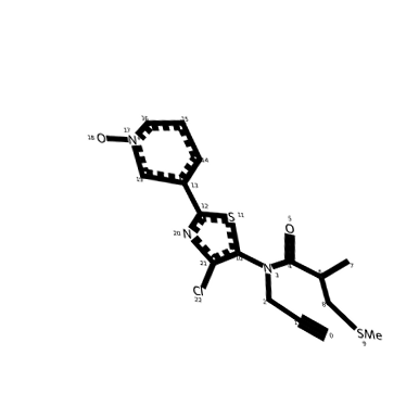 C#CCN(C(=O)C(C)CSC)c1sc(-c2ccc[n+]([O-])c2)nc1Cl